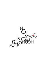 CCCCC1(CCCC)CN(c2ccc(OC)cc2)c2cc(SC)c(O/C=C(\F)C(=O)OCC)cc2S(O)(O)C1